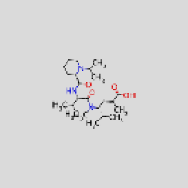 C/C(=C\[C@H](C(C)C)N(C)C(=O)[C@@H](NC(=O)[C@H]1CCCCN1C(C)C)C(C)C)C(=O)O